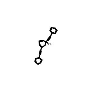 OC1(C#Cc2ccccc2)C=CC=C(C#Cc2ccccc2)C1